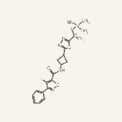 C[C@H](O[Si](C)(C)C(C)(C)C)c1nnc(C2CC(NC(=O)c3onc(-c4ccccc4)c3F)C2)o1